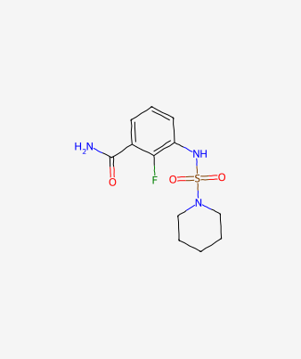 NC(=O)c1cccc(NS(=O)(=O)N2CCCCC2)c1F